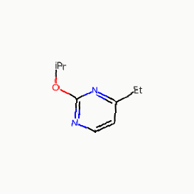 CCc1ccnc(OC(C)C)n1